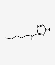 CCCCCNc1c[nH]cn1